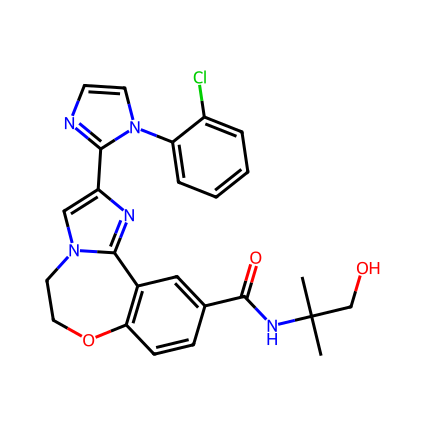 CC(C)(CO)NC(=O)c1ccc2c(c1)-c1nc(-c3nccn3-c3ccccc3Cl)cn1CCO2